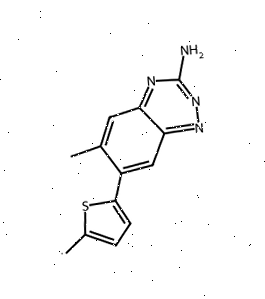 [CH2]c1ccc(-c2cc3nnc(N)nc3cc2C)s1